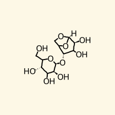 OCC1O[C@@H](O[C@@H]2C3CO[C@H](O3)[C@@H](O)C2O)[C@@H](O)C(O)[C@@H]1O